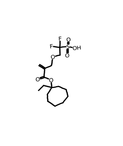 C=C(COCC(F)(F)S(=O)(=O)O)C(=O)OC1(CC)CCCCCCC1